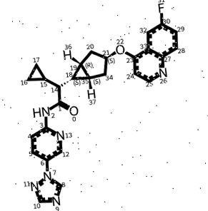 O=C(Nc1ccc(-n2cncn2)cn1)C(C1CC1)[C@@H]1[C@@H]2C[C@@H](Oc3ccnc4ccc(F)cc34)C[C@@H]21